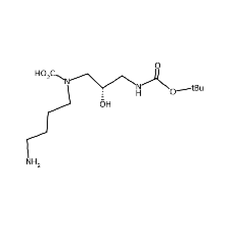 CC(C)(C)OC(=O)NC[C@H](O)CN(CCCCN)C(=O)O